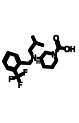 CC(C)CN(Cc1ccccc1C(F)(F)F)[C@H]1CCCN(C(=O)O)C1